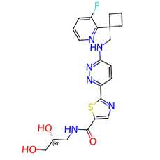 O=C(NC[C@@H](O)CO)c1cnc(-c2ccc(NCC3(c4ncccc4F)CCC3)nn2)s1